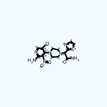 NC(=O)C(c1nccs1)N1CCN(c2c(Cl)cnc(N)c2[N+](=O)[O-])CC1